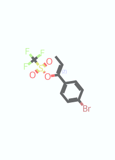 C/C=C(\OS(=O)(=O)C(F)(F)F)c1ccc(Br)cc1